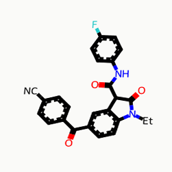 CCN1C(=O)C(C(=O)Nc2ccc(F)cc2)c2cc(C(=O)c3ccc(C#N)cc3)ccc21